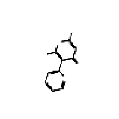 Cc1cc(=O)c(-c2ccccn2)c(C)o1